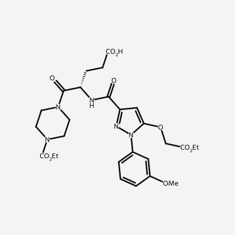 CCOC(=O)COc1cc(C(=O)N[C@@H](CCC(=O)O)C(=O)N2CCN(C(=O)OCC)CC2)nn1-c1cccc(OC)c1